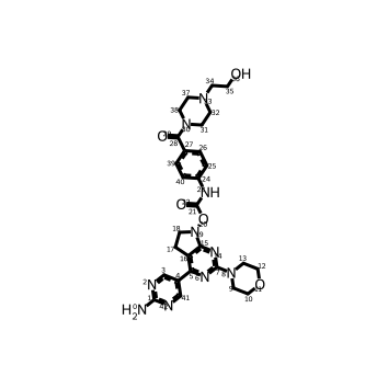 Nc1ncc(-c2nc(N3CCOCC3)nc3c2CCN3OC(=O)Nc2ccc(C(=O)N3CCN(CCO)CC3)cc2)cn1